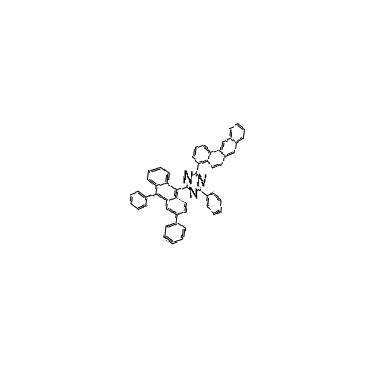 c1ccc(-c2ccc3c(-c4nc(-c5ccccc5)nc(-c5cccc6c5ccc5cc7ccccc7cc56)n4)c4ccccc4c(-c4ccccc4)c3c2)cc1